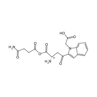 NC(=O)CCC(=O)OC(=O)[C@@H](N)CC(=O)c1cc2ccccc2n1CC(=O)O